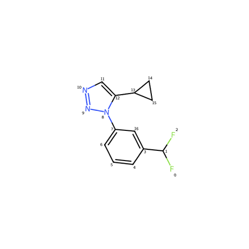 FC(F)c1cccc(-n2nn[c]c2C2CC2)c1